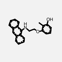 Cc1c(O)cccc1OCCNc1c2ccccc2cc2ccccc12